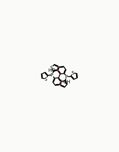 Oc1cccc(P(c2cccs2)c2cccs2)c1-c1c(O)cccc1P(c1cccs1)c1cccs1